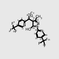 COC(c1ccc(C(F)(F)F)cn1)C1C(C)=NN(c2ccc(C(F)(F)F)cn2)C1O